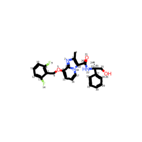 Cc1nc2c(OCc3c(F)cccc3F)cccn2c1C(=O)N[C@@](C)(CO)c1ccccc1